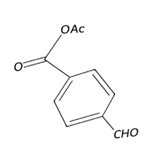 CC(=O)OC(=O)c1ccc(C=O)cc1